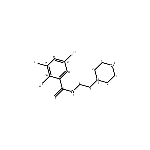 C=C(OCCN1CCOCC1)c1cc(I)cc(I)c1I